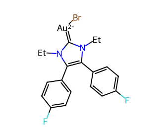 CCn1c(-c2ccc(F)cc2)c(-c2ccc(F)cc2)n(CC)[c]1=[Au-2][Br]